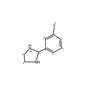 Fc1cccc(C2NCCN2)c1